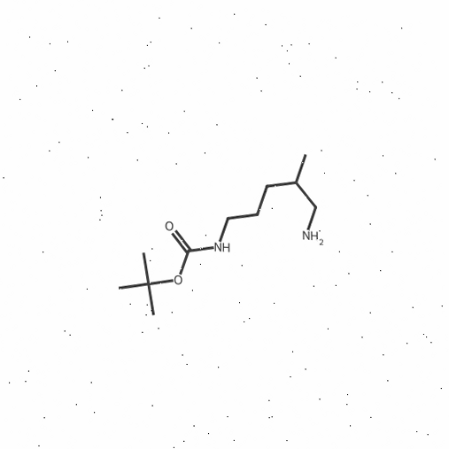 CC(CN)CCCNC(=O)OC(C)(C)C